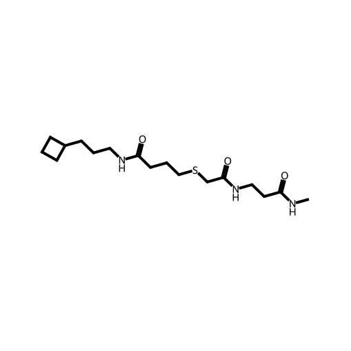 CNC(=O)CCNC(=O)CSCCCC(=O)NCCCC1CCC1